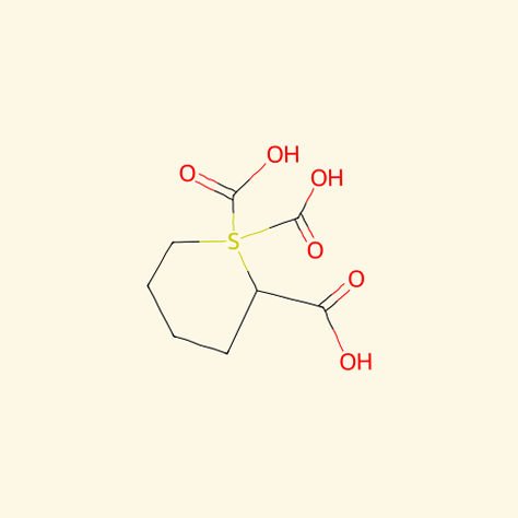 O=C(O)C1CCCCS1(C(=O)O)C(=O)O